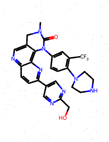 CN1Cc2cnc3ccc(-c4cnc(CO)nc4)nc3c2N(c2ccc(N3CCNCC3)c(C(F)(F)F)c2)C1=O